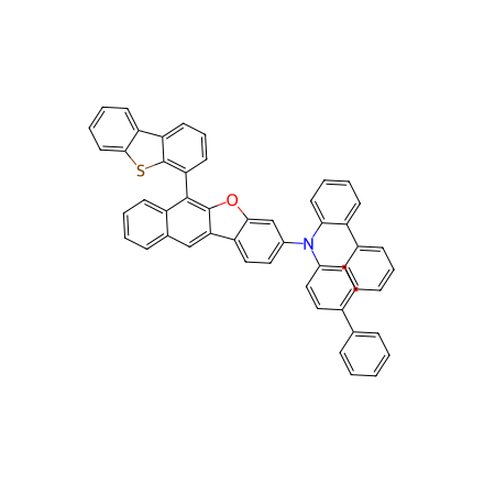 c1ccc(-c2ccc(N(c3ccc4c(c3)oc3c(-c5cccc6c5sc5ccccc56)c5ccccc5cc34)c3ccccc3-c3ccccc3)cc2)cc1